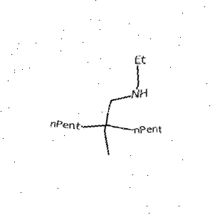 CCCCCC(C)(CCCCC)CNCC